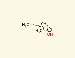 CCCCCCCC(C)CC(C)Cc1ccccc1O